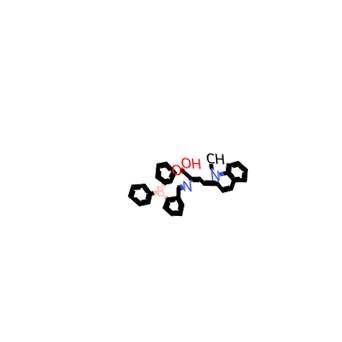 CCN1C(=CC=C(N=Cc2ccccc2B(c2ccccc2)c2ccccc2)C(=O)O)C=Cc2ccccc21